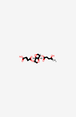 C=C(O)CCC(=O)O[C@H]1CO[C@H]2[C@@H]1OC[C@H]2OC(=O)C=CC(=O)O